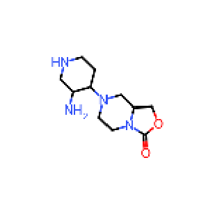 NC1CNCCC1N1CCN2C(=O)OCC2C1